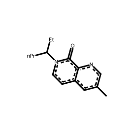 CCCC(CC)n1ccc2cc(C)cnc2c1=O